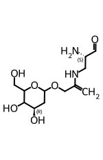 C=C(COC1C[C@@H](O)C(O)C(CO)O1)NC[C@H](N)C=O